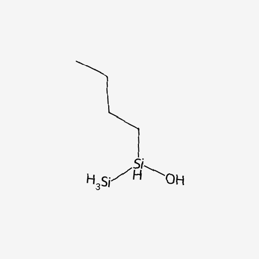 CCCC[SiH](O)[SiH3]